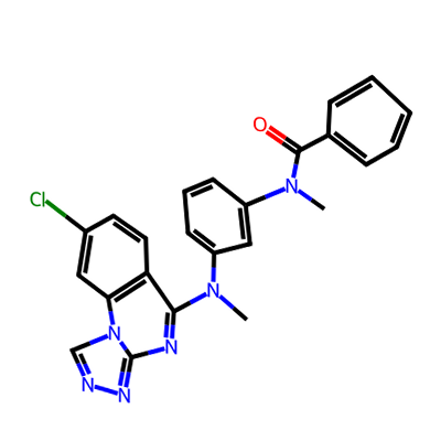 CN(C(=O)c1ccccc1)c1cccc(N(C)c2nc3nncn3c3cc(Cl)ccc23)c1